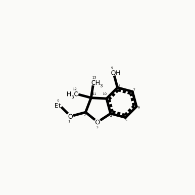 CCOC1Oc2cccc(O)c2C1(C)C